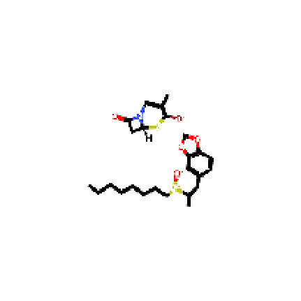 CC1=CN2C(=O)C[C@H]2SC1Br.CCCCCCCC[S+]([O-])C(C)Cc1ccc2c(c1)OCO2